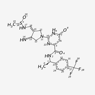 C[C@@H](NC(=O)c1cc(=O)[nH]c(N2CC(=N)/C(=C\N[S+](C)[O-])C2)n1)c1ccc(C(F)(F)F)cc1